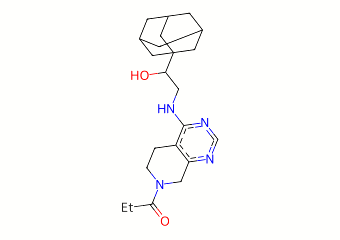 CCC(=O)N1CCc2c(ncnc2NCC(O)C23CC4CC(CC(C4)C2)C3)C1